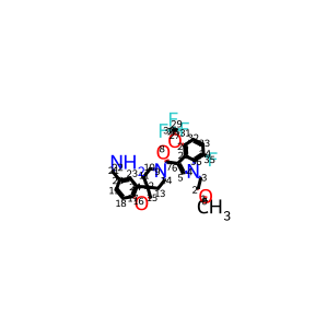 COCCn1cc(C(=O)N2CCC3(CC2)COc2ccc(CN)cc23)c2c(OC(F)(F)F)ccc(F)c21